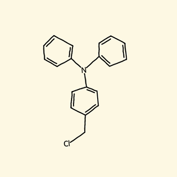 ClCc1ccc(N(c2ccccc2)c2ccccc2)cc1